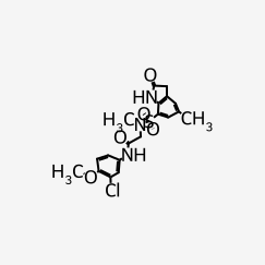 COc1ccc(NC(=O)CN(C)S(=O)(=O)c2cc(C)cc3c2NC(=O)C3)cc1Cl